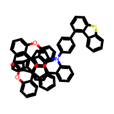 c1ccc2c(c1)Oc1ccccc1C21c2ccccc2-c2ccc(-c3ccccc3N(c3ccc(-c4cccc5sc6ccccc6c45)cc3)c3cccc4c3-c3ccccc3C43c4ccccc4Oc4ccccc43)cc21